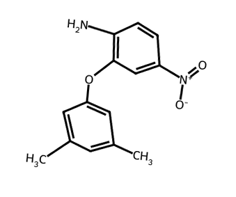 Cc1cc(C)cc(Oc2cc([N+](=O)[O-])ccc2N)c1